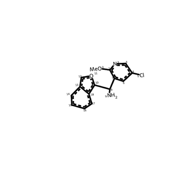 COc1ncc(Cl)cc1C(N)c1occ2ccccc12